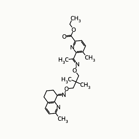 CCOC(=O)c1ccc(C)c(/C(C)=N/OCC(C)(C)CO/N=C2\CCCc3ccc(C)nc32)n1